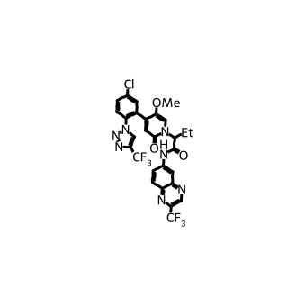 CCC(C(=O)Nc1ccc2nc(C(F)(F)F)cnc2c1)n1cc(OC)c(-c2cc(Cl)ccc2-n2cc(C(F)(F)F)nn2)cc1=O